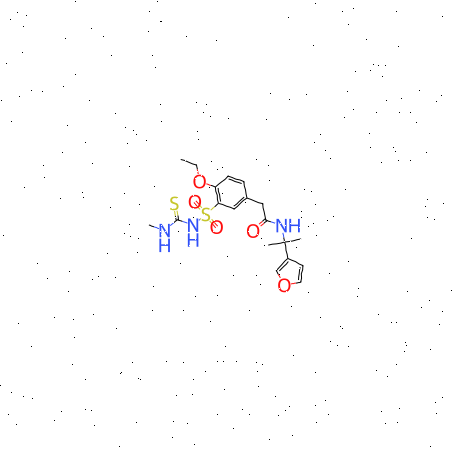 CCOc1ccc(CC(=O)NC(C)(C)c2ccoc2)cc1S(=O)(=O)NC(=S)NC